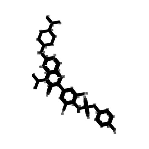 CC(C)n1c(=O)c(-c2cc(F)c(NS(=O)(=O)Cc3ccc(F)cc3)c(F)c2)nc2cnc(NC3CCC(N(C)C)CC3)nc21